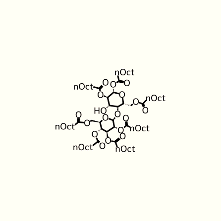 CCCCCCCCC(=O)OC[C@H]1O[C@@H](OC(=O)CCCCCCCC)[C@H](OC(=O)CCCCCCCC)[C@@H](O)[C@@H]1O[C@@H]1O[C@H](COC(=O)CCCCCCCC)[C@@H](OC(=O)CCCCCCCC)[C@H](OC(=O)CCCCCCCC)[C@H]1OC(=O)CCCCCCCC